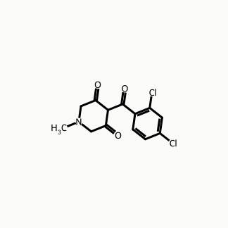 CN1CC(=O)C(C(=O)c2ccc(Cl)cc2Cl)C(=O)C1